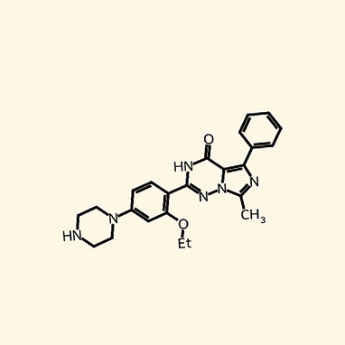 CCOc1cc(N2CCNCC2)ccc1-c1nn2c(C)nc(-c3ccccc3)c2c(=O)[nH]1